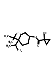 CC(C)C1(C(C)(C)C)CCC(NC(=O)C2(O)CC2)CC1